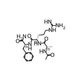 CC(=O)N[C@@H](C)C(=O)N[C@@H](CCCNC(=N)N)C(=O)N[C@@H](Cc1ccccc1)C(N)=O